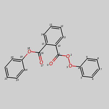 O=C(OOc1ccccc1)c1ccccc1C(=O)Oc1ccccc1